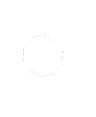 C1=C\C/C=C\N=C/C\N=C/1